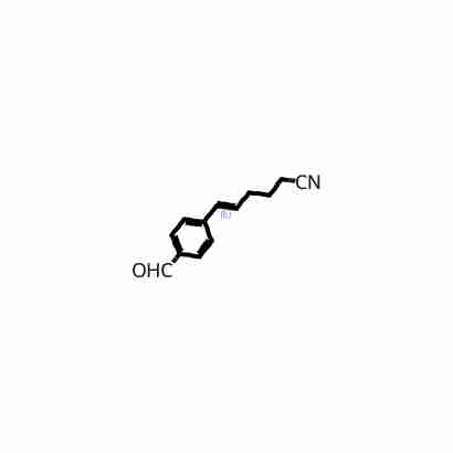 N#CCCC/C=C/c1ccc(C=O)cc1